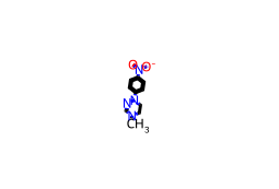 CN1C=NN(c2ccc([N+](=O)[O-])cc2)CC1